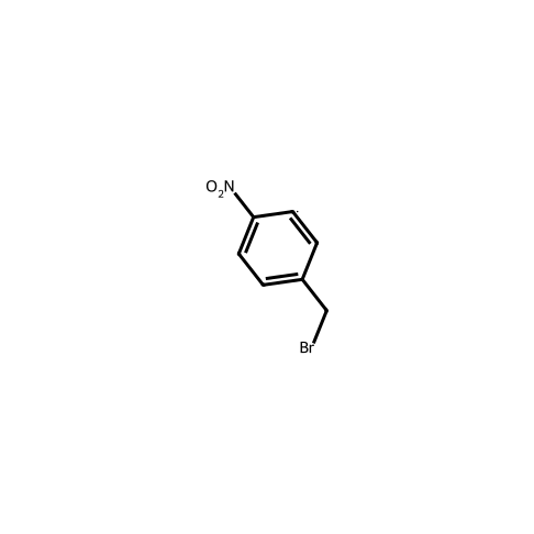 O=[N+]([O-])c1[c]cc(CBr)cc1